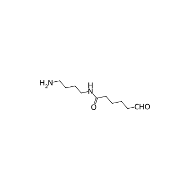 NCCCCNC(=O)CCCCC=O